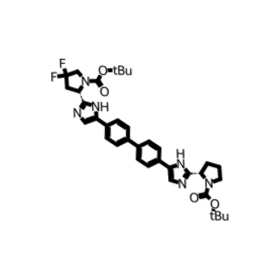 CC(C)(C)OC(=O)N1CCC[C@H]1c1ncc(-c2ccc(-c3ccc(-c4cnc([C@@H]5CC(F)(F)CN5C(=O)OC(C)(C)C)[nH]4)cc3)cc2)[nH]1